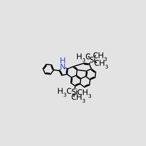 C[Si](C)(C)c1cc2c3cc(-c4ccccc4)[nH]c3c3cc([Si](C)(C)C)c4ccc5ccc1c1c5c4c3c21